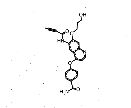 CC#CC(=O)Nc1cc2c(Oc3ccc(C(N)=O)cc3)ccnc2cc1OCCCO